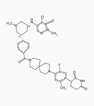 Cc1cc(N2CCC3(CCN(C(=O)c4ccc([C@H]5C[C@@H](Nc6cnn(C)c(=O)c6Cl)CN(C)C5)cc4)CC3)CC2)c(F)cc1C1CCC(=O)NC1=O